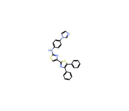 c1ccc(-c2nc(-c3csc(Nc4ccc(-n5ccnc5)cc4)n3)sc2-c2ccccc2)cc1